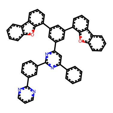 c1ccc(-c2cc(-c3cc(-c4cccc5c4oc4ccccc45)cc(-c4cccc5c4oc4ccccc45)c3)nc(-c3cccc(-c4ncccn4)c3)n2)cc1